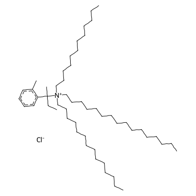 CCCCCCCCCCCCCCCC[N+](CCCCCCCCCCCC)(CCCCCCCCCCCCCC)C(C)(CC)c1ccccc1C.[Cl-]